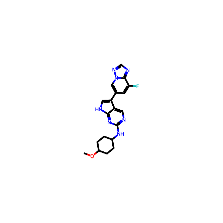 COC1CCC(Nc2ncc3c(-c4cc(F)c5ncnn5c4)c[nH]c3n2)CC1